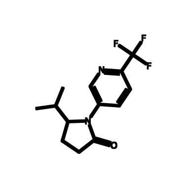 CC(C)C1CCC(=O)N1c1ccc(C(F)(F)F)nc1